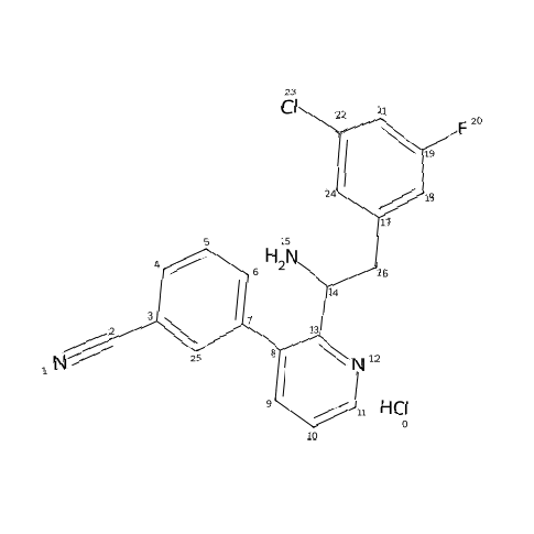 Cl.N#Cc1cccc(-c2cccnc2C(N)Cc2cc(F)cc(Cl)c2)c1